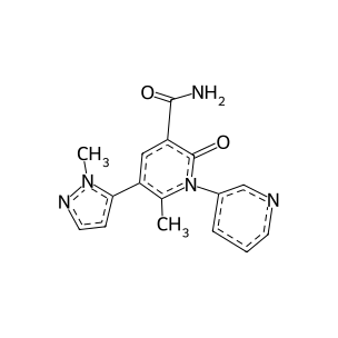 Cc1c(-c2ccnn2C)cc(C(N)=O)c(=O)n1-c1cccnc1